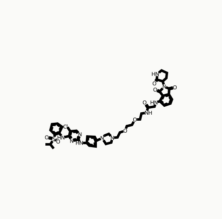 CC(C)S(=O)(=O)c1ccccc1Nc1nc(Nc2ccc(N3CCN(CCOCCOCCNC(=O)CNc4cccc5c4C(=O)N(C4CCCNC4=O)C5=O)CC3)cc2)ncc1Cl